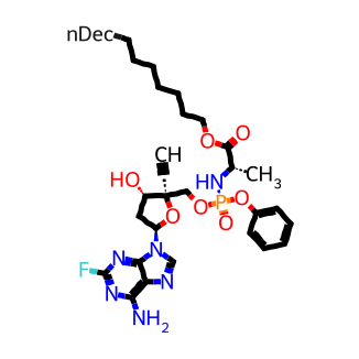 C#C[C@]1(CO[P@@](=O)(N[C@@H](C)C(=O)OCCCCCCCCCCCCCCCCC)Oc2ccccc2)O[C@@H](n2cnc3c(N)nc(F)nc32)C[C@@H]1O